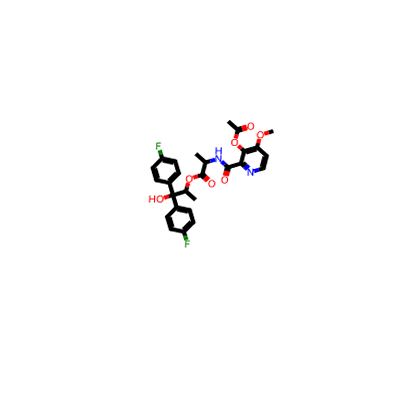 COc1ccnc(C(=O)NC(C)C(=O)OC(C)C(O)(c2ccc(F)cc2)c2ccc(F)cc2)c1OC(C)=O